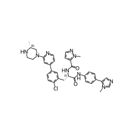 C[C@@H]1CN(c2cc(-c3ccc(Cl)c(C[C@H](NC(=O)c4ccnn4C)C(=O)Nc4ccc(-c5cncn5C)cc4)c3)ccn2)CCN1